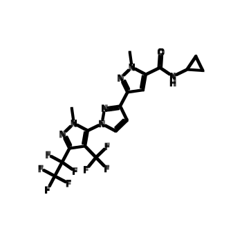 Cn1nc(-c2ccn(-c3c(C(F)(F)F)c(C(F)(F)C(F)(F)F)nn3C)n2)cc1C(=O)NC1CC1